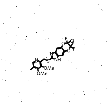 COc1c(C)cnc(CSc2nc3cc4c(cc3[nH]2)OC(F)(F)C(F)(Cl)O4)c1OC